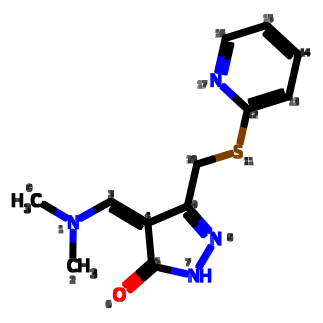 CN(C)/C=C1\C(=O)NN=C1CSc1ccccn1